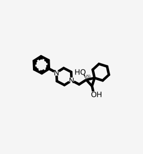 OC1C2(CCCCC2)[C@]1(O)CN1CCN(c2ccccc2)CC1